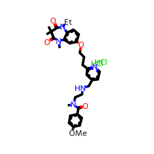 CCN1C(=O)C(C)(C)C(=O)N(C)c2cc(OCCCc3cc(CNCCN(C)C(=O)c4ccc(OC)cc4)ccn3)ccc21.Cl.Cl